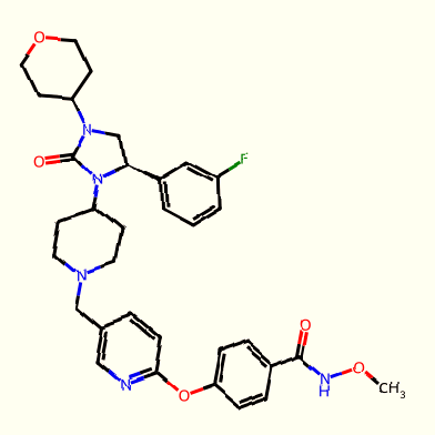 CONC(=O)c1ccc(Oc2ccc(CN3CCC(N4C(=O)N(C5CCOCC5)C[C@H]4c4cccc(F)c4)CC3)cn2)cc1